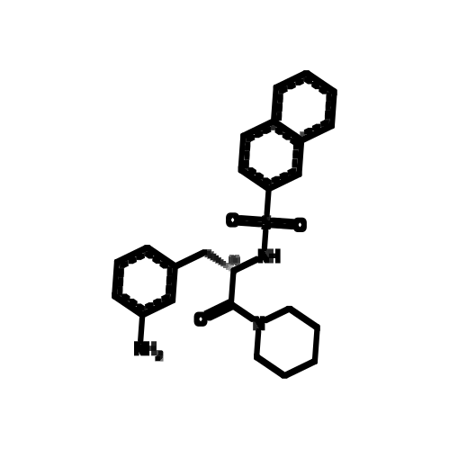 Nc1cccc(C[C@H](NS(=O)(=O)c2ccc3ccccc3c2)C(=O)N2CCCCC2)c1